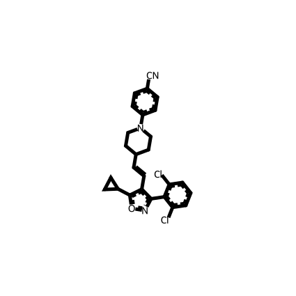 N#Cc1ccc(N2CCC(/C=C/c3c(-c4c(Cl)cccc4Cl)noc3C3CC3)CC2)cc1